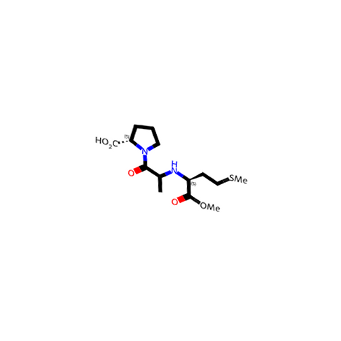 COC(=O)[C@H](CCSC)NC(C)C(=O)N1CCC[C@H]1C(=O)O